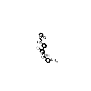 NC1CCCC(C(=O)Nc2cc(-c3cccc(NCCN4CCCC4=O)c3)c(Cl)cn2)C1